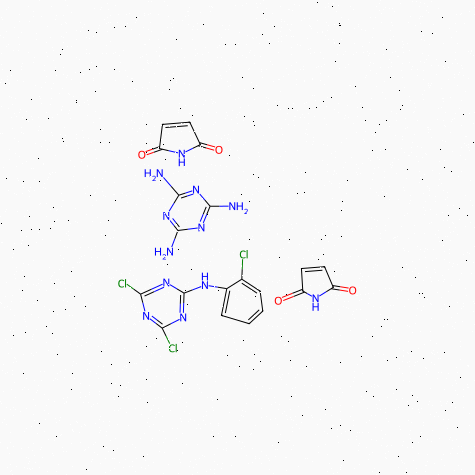 Clc1nc(Cl)nc(Nc2ccccc2Cl)n1.Nc1nc(N)nc(N)n1.O=C1C=CC(=O)N1.O=C1C=CC(=O)N1